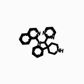 c1ccc(C2(C(Nc3nccc4ccccc34)c3ncccn3)CCNCC2)cc1